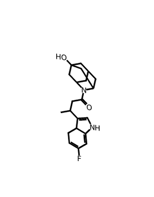 CC(CC(=O)N1C2CC3CC1CC(O)(C3)C2)C1=CNC2=CC(F)=CCC21